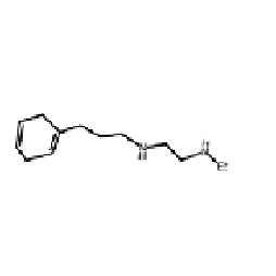 CCNCCNCCCC1=CCC=CC1